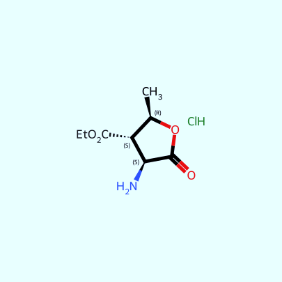 CCOC(=O)[C@H]1[C@H](N)C(=O)O[C@@H]1C.Cl